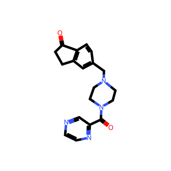 O=C1CCc2cc(CN3CCN(C(=O)c4cnccn4)CC3)ccc21